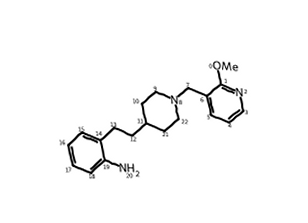 COc1ncccc1CN1CCC(CCc2ccccc2N)CC1